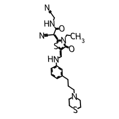 CCn1c(=C(C#N)C(=O)NCC#N)sc(=CNc2cccc(CCCN3CCSCC3)c2)c1=O